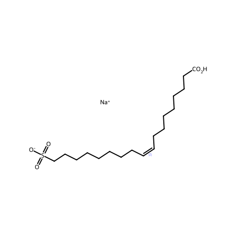 O=C(O)CCCCCCC/C=C\CCCCCCCCS(=O)(=O)[O-].[Na+]